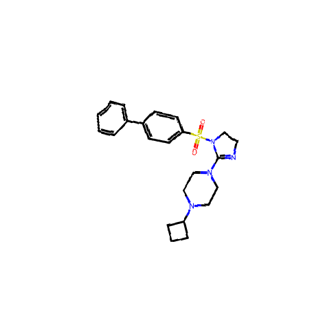 O=S(=O)(c1ccc(-c2ccccc2)cc1)N1CCN=C1N1CCN(C2CCC2)CC1